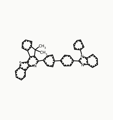 CC1(C)c2ccccc2-c2c1c(-c1ccc(-c3ccc(-c4nc5ccccc5n4-c4ccccc4)cc3)cc1)nc1c2sc2ccccc21